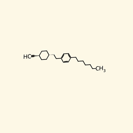 C#C[C@H]1CC[C@H](CCc2ccc(CCCCCCC)cc2)CC1